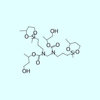 CC(CO)OC(=O)N(CCC[Si]1(C)OCCC(C)O1)CN(CCC[Si]1(C)OCCC(C)O1)C(=O)OC(C)CCO